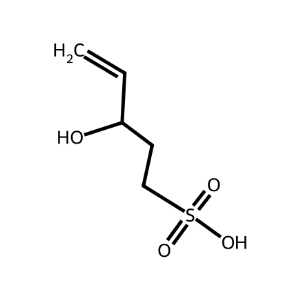 C=CC(O)CCS(=O)(=O)O